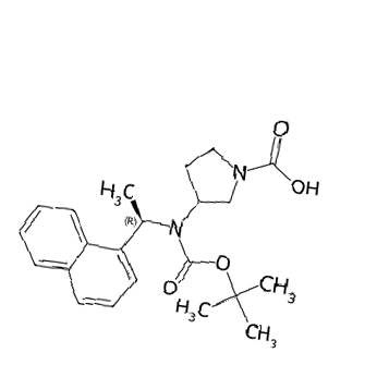 C[C@H](c1cccc2ccccc12)N(C(=O)OC(C)(C)C)C1CCN(C(=O)O)C1